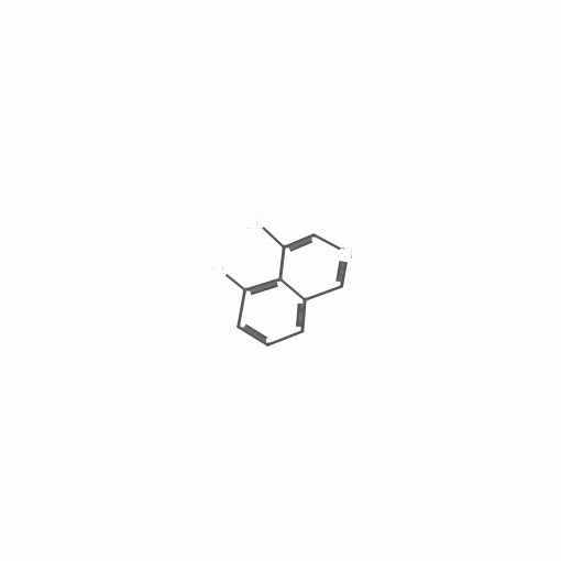 CCc1cncc2cccc([O])c12